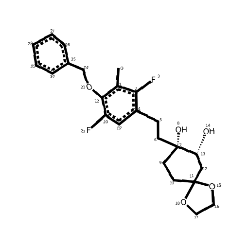 Cc1c(F)c(CC[C@]2(O)CCC3(C[C@H]2O)OCCO3)cc(F)c1OCc1ccccc1